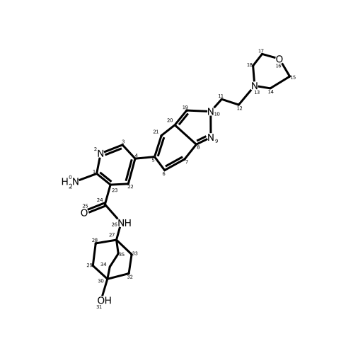 Nc1ncc(-c2ccc3nn(CCN4CCOCC4)cc3c2)cc1C(=O)NC12CCC(O)(CC1)CC2